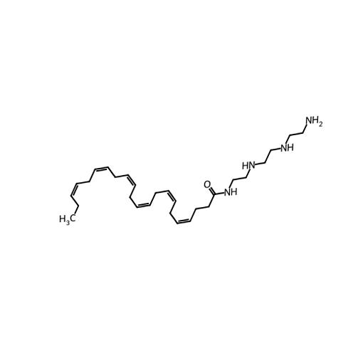 CC/C=C\C/C=C\C/C=C\C/C=C\C/C=C\C/C=C\CCC(=O)NCCNCCNCCN